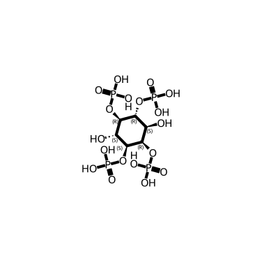 O=P(O)(O)O[C@@H]1[C@@H](O)[C@@H](OP(=O)(O)O)[C@@H](OP(=O)(O)O)[C@H](O)[C@H]1OP(=O)(O)O